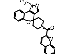 Cn1ncc2c1-c1ccccc1OC21CCN(C(=O)c2ccc3ccccc3n2)CC1